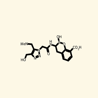 CNCc1c(CO)nnn1CC(=O)NC1Cc2cccc(C(=O)O)c2OB1O